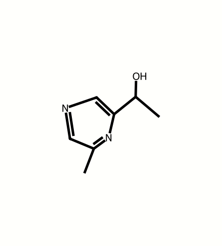 Cc1cncc(C(C)O)n1